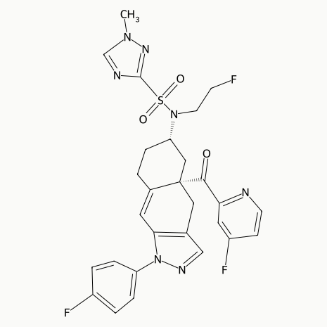 Cn1cnc(S(=O)(=O)N(CCF)[C@H]2CCC3=Cc4c(cnn4-c4ccc(F)cc4)C[C@]3(C(=O)c3cc(F)ccn3)C2)n1